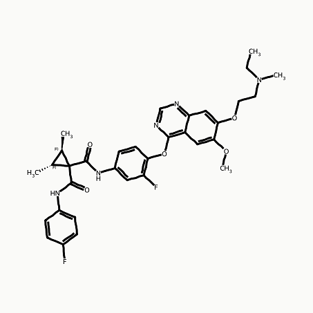 CCN(C)CCOc1cc2ncnc(Oc3ccc(NC(=O)C4(C(=O)Nc5ccc(F)cc5)[C@H](C)[C@H]4C)cc3F)c2cc1OC